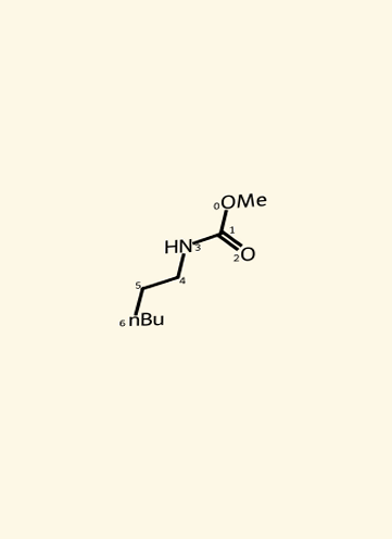 [CH2]OC(=O)NCCCCCC